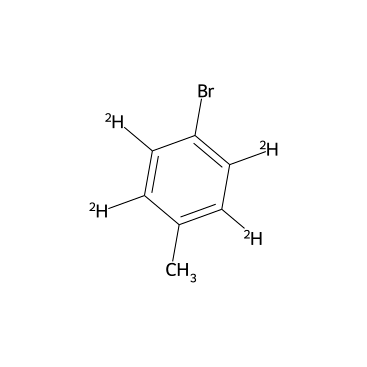 [2H]c1c([2H])c(Br)c([2H])c([2H])c1C